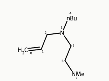 C=CCN(CCCC)CCNC